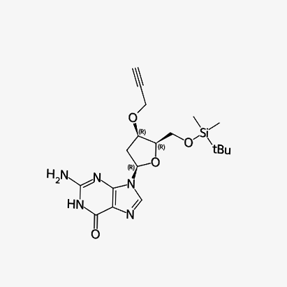 C#CCO[C@@H]1C[C@H](n2cnc3c(=O)[nH]c(N)nc32)O[C@@H]1CO[Si](C)(C)C(C)(C)C